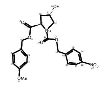 COc1ccc(COC(=O)[C@H]2C[C@H](O)CN2C(=O)OCc2ccc([N+](=O)[O-])cc2)cc1